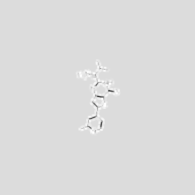 Cc1cc(-c2cc3nc([C@@H](N)C(C)C)[nH]c(=O)c3s2)ccn1